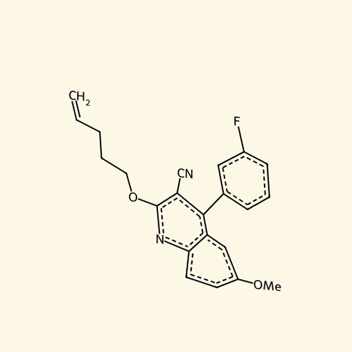 C=CCCCOc1nc2ccc(OC)cc2c(-c2cccc(F)c2)c1C#N